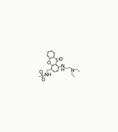 CCN(CC)CCNc1ccc(CNS(C)(=O)=O)c2c1[S+]([O-])c1ccccc1O2